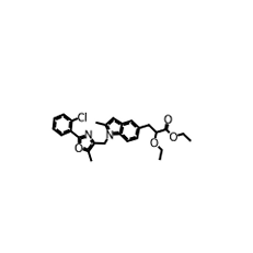 CCOC(=O)C(Cc1ccc2c(c1)cc(C)n2Cc1nc(-c2ccccc2Cl)oc1C)OCC